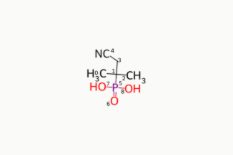 CC(C)(CC#N)P(=O)(O)O